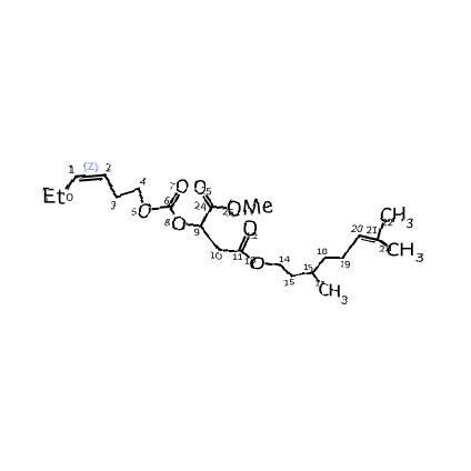 CC/C=C\CCOC(=O)OC(CC(=O)OCCC(C)CCC=C(C)C)C(=O)OC